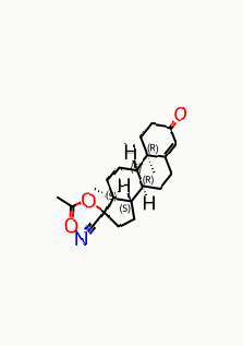 CC(=O)OC1(C#N)CC[C@H]2[C@@H]3CCC4=CC(=O)CC[C@]4(C)[C@H]3CC[C@@]21C